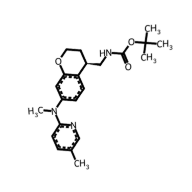 Cc1ccc(N(C)c2ccc3c(c2)OCC[C@H]3CNC(=O)OC(C)(C)C)nc1